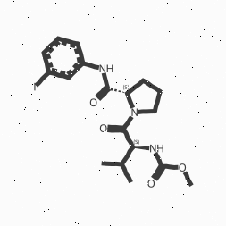 COC(=O)N[C@H](C(=O)N1CCC[C@H]1C(=O)Nc1cccc(I)c1)C(C)C